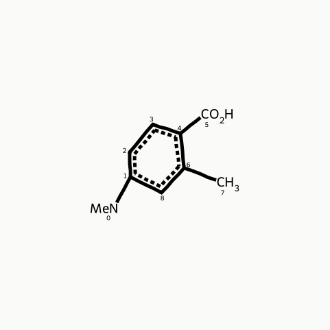 CNc1ccc(C(=O)O)c(C)c1